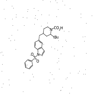 CC(C)(C)C1CC(Cc2ccc3c(ccn3S(=O)(=O)c3ccccc3)c2)CCN1C(=O)O